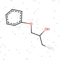 BCC(O)COc1ccccc1